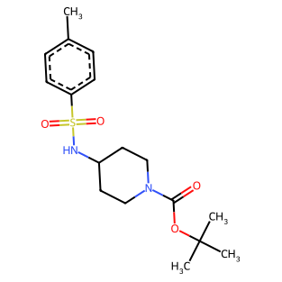 Cc1ccc(S(=O)(=O)NC2CCN(C(=O)OC(C)(C)C)CC2)cc1